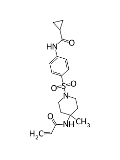 C=CC(=O)NC1(C)CCN(S(=O)(=O)c2ccc(NC(=O)C3CC3)cc2)CC1